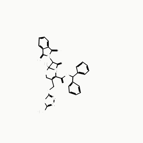 Cc1nnc(SCC2=C(C(=O)OC(c3ccccc3)c3ccccc3)N3C(=O)C(N4C(=O)c5ccccc5C4=O)[C@H]3SC2)s1